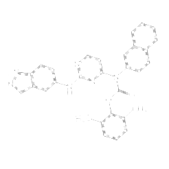 Cc1cccc(C)c1OC(=O)N(c1ccc2ccccc2c1)c1ccnc(Nc2ccc3[nH]ncc3c2)n1